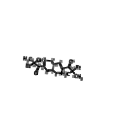 CCC(C)(C)C(=O)c1ccc2cc(C(=O)C(C)(C)CC)ccc2c1